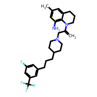 C=C(CN1CCC(CCCc2cc(F)cc(C(F)(F)F)c2)CC1)N1CCCc2cc(C)cc(N)c21